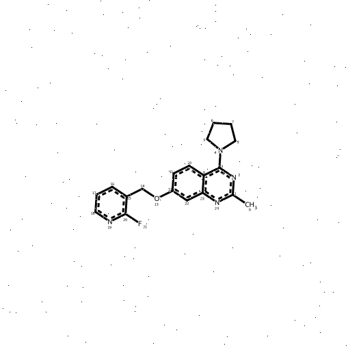 Cc1nc(N2CCCC2)c2ccc(OCc3cccnc3F)cc2n1